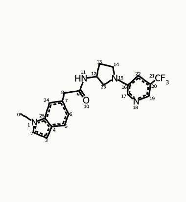 Cn1ccc2ccc(CC(=O)NC3CCN(c4cncc(C(F)(F)F)c4)C3)cc21